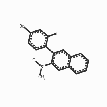 C[S+]([O-])c1cc2ccccc2cc1-c1ccc(Br)cc1F